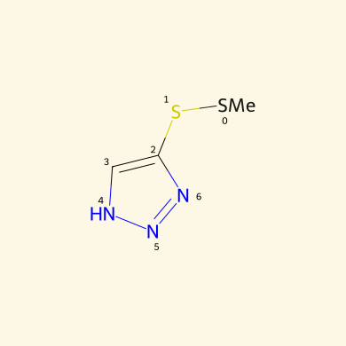 CSSc1c[nH]nn1